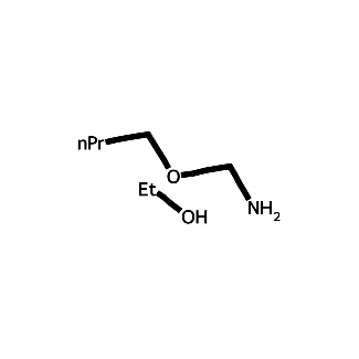 CCCCOCN.CCO